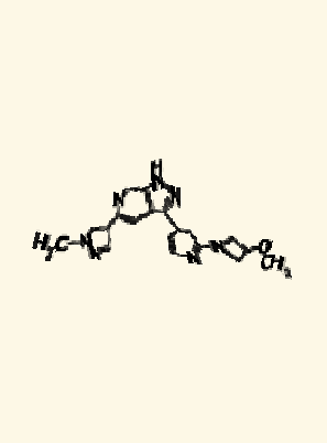 COC1CN(c2cc(-c3n[nH]c4cnc(-c5cnn(C)c5)cc34)ccn2)C1